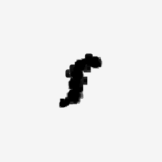 C=NCCOc1ccc(-c2cnc3c(Nc4ccc(C(=O)N5CCC(CNC(=O)c6ccncc6)CC5)c(Cl)c4)nccn23)c(F)c1F